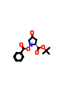 CC(C)(C)OC(=O)[C@H]1CC(=O)CN1OC(=O)c1ccccc1